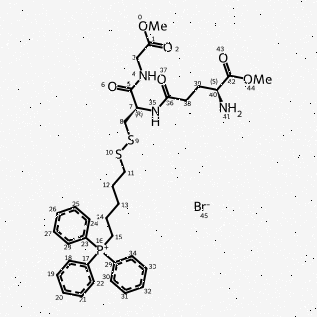 COC(=O)CNC(=O)[C@H](CSSCCCCC[P+](c1ccccc1)(c1ccccc1)c1ccccc1)NC(=O)CC[C@H](N)C(=O)OC.[Br-]